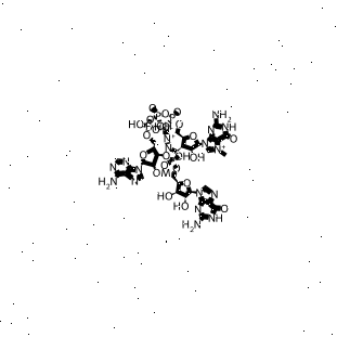 CO[C@@H]1[C@H](OP(=O)(O)OC[C@H]2O[C@@H](n3cnc4c(=O)[nH]c(N)nc43)[C@H](O)[C@@H]2O)[C@@H](COP(=O)(O)OP(=O)(O)OP(=O)(O)OC[C@H]2O[C@@H](n3c[n+](C)c4c(=O)[nH]c(N)nc43)[C@H](O)[C@@H]2CN=[N+]=[N-])O[C@H]1n1cnc2c(N)ncnc21